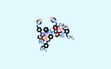 CCOC(=O)C1=C(C(=O)Nc2c(CC)cccc2CCc2ccc(N[C@@H](c3ccc(CN4CCOCC4)cc3)[C@]34C=C[C@H](O3)C(C(=O)Nc3c(CC)cccc3CC)=C4C(=O)OCC)cc2)[C@H]2C=C[C@]1([C@@H](Nc1ccccc1)c1ccc(CN3CCOCC3)cc1)O2